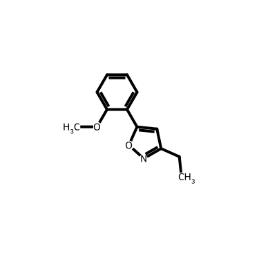 CCc1cc(-c2ccccc2OC)on1